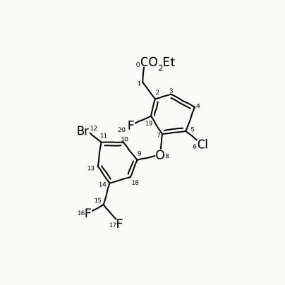 CCOC(=O)Cc1ccc(Cl)c(Oc2cc(Br)cc(C(F)F)c2)c1F